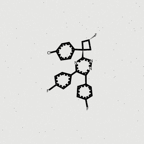 Fc1ccc(-c2nnc([C@]3(c4ccc(Cl)cc4)C[C@@H](F)C3)nc2-c2ccc(F)cc2)cc1